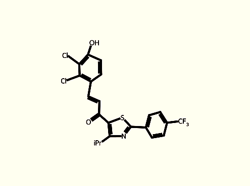 CC(C)c1nc(-c2ccc(C(F)(F)F)cc2)sc1C(=O)C=Cc1ccc(O)c(Cl)c1Cl